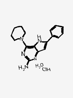 Cl.Nc1nc(N2CCCCC2)c2[nH]c(-c3ccccc3)cc2n1.O